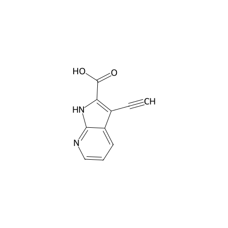 C#Cc1c(C(=O)O)[nH]c2ncccc12